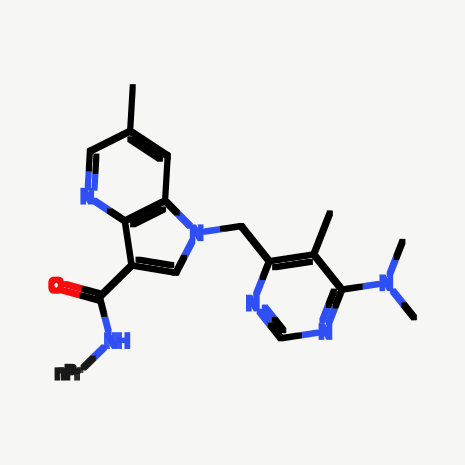 CCCNC(=O)c1cn(Cc2ncnc(N(C)C)c2C)c2cc(C)cnc12